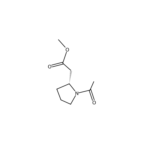 COC(=O)C[C@H]1CCCN1C(C)=O